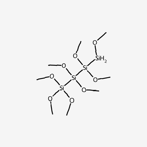 CO[SiH2][Si](OC)(OC)[Si](OC)(OC)[Si](OC)(OC)OC